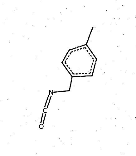 [CH2]c1ccc(CN=C=O)cc1